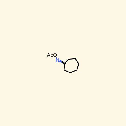 CC(=O)ON=C1CCCCCC1